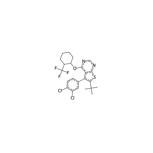 CC(C)(C)c1sc2ncnc(OC3CCCCC3C(F)(F)F)c2c1-c1ccc(Cl)c(Cl)c1